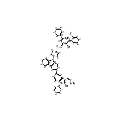 C/C=C\c1c(CC)n(C2C=CC=CC2)c2ccc(-c3ccc4c(c3)c3c(n4C4C=C[C@@H](C/N=C(\N=C(/N)C5=CC=CCC5)C(=C/C5C=CC=CC5CC)/CC)CC4)=CCCC=3)cc12